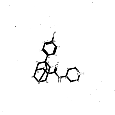 O=C(NC1CCNCC1)C12CC3CC(C1)CC(c1ccc(F)cc1)(C3)C2